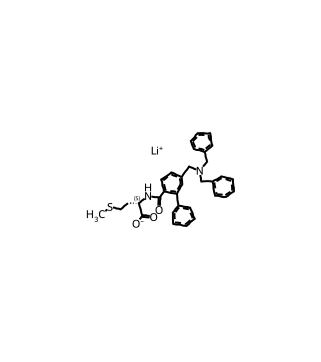 CSCC[C@H](NC(=O)c1ccc(CN(Cc2ccccc2)Cc2ccccc2)cc1-c1ccccc1)C(=O)[O-].[Li+]